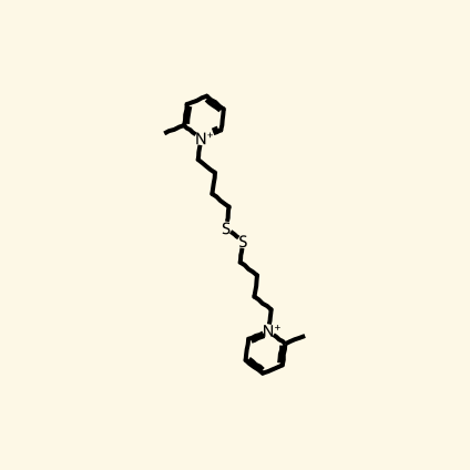 Cc1cccc[n+]1CCCCSSCCCC[n+]1ccccc1C